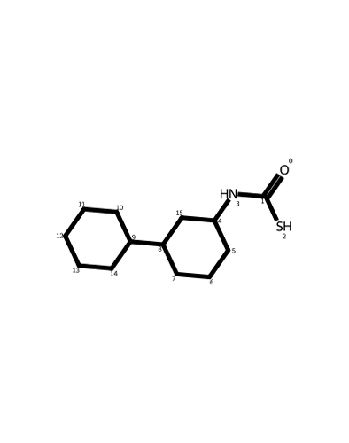 O=C(S)NC1CCCC(C2CCCCC2)C1